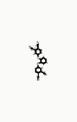 N#Cc1ccc(Oc2ccccc2Oc2ccc(C#N)c(C#N)c2)cc1C#N